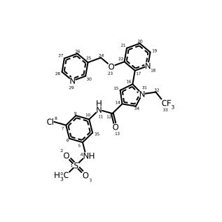 CS(=O)(=O)Nc1cc(Cl)cc(NC(=O)c2cc(-c3ncccc3OCc3cccnc3)n(CC(F)(F)F)c2)c1